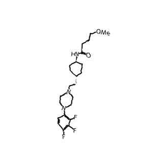 COCCCC(=O)N[C@H]1CC[C@H](CCN2CCN(c3ccc(F)c(F)c3F)CC2)CC1